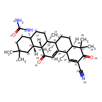 CC1(C)CC[C@@]2(NC(N)=O)CC[C@]3(C)[C@H](C(=O)C=C4[C@]5(C)C=C(C#N)C(=O)C(C)(C)[C@@H]5CC[C@@]43C)[C@@H]2C1